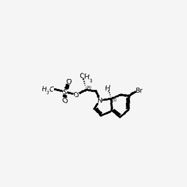 C[C@H](CN1C=CC2=CC=C(Br)C[C@@H]21)OS(C)(=O)=O